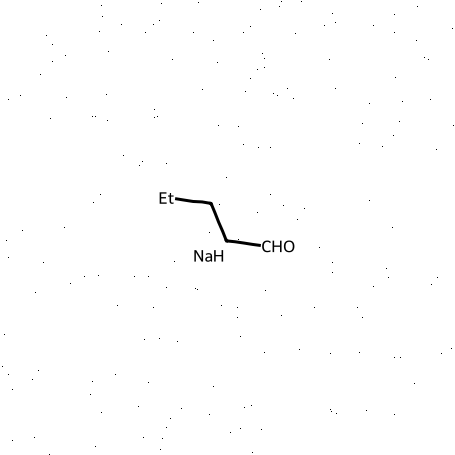 CCCCC=O.[NaH]